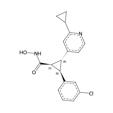 O=C(NO)[C@@H]1[C@H](c2cccc(Cl)c2)[C@H]1c1ccnc(C2CC2)c1